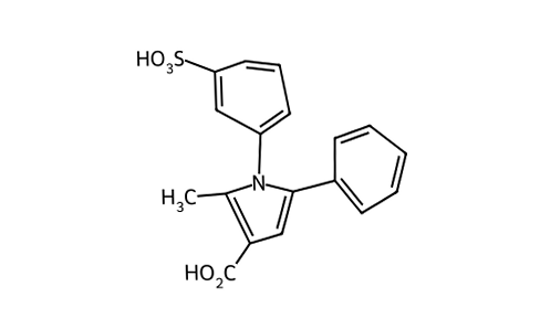 Cc1c(C(=O)O)cc(-c2ccccc2)n1-c1cccc(S(=O)(=O)O)c1